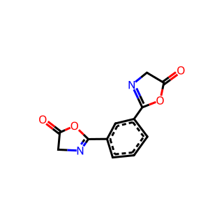 O=C1CN=C(c2cccc(C3=NCC(=O)O3)c2)O1